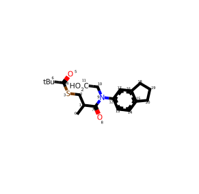 CC(CSC(=O)C(C)(C)C)C(=O)N(CC(=O)O)c1ccc2c(c1)CCC2